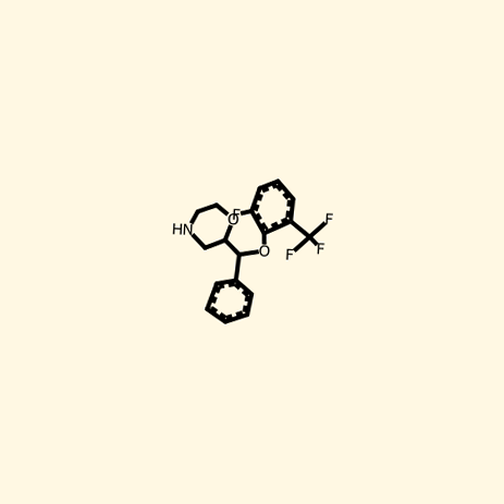 Fc1cccc(C(F)(F)F)c1OC(c1ccccc1)C1CNCCO1